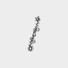 O=C(CCCCC1CCSS1)OCCOCCOC(=O)CCCc1ccccc1